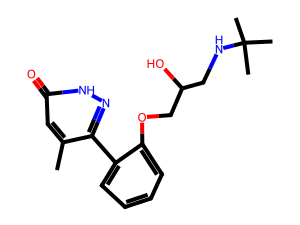 Cc1cc(=O)[nH]nc1-c1ccccc1OCC(O)CNC(C)(C)C